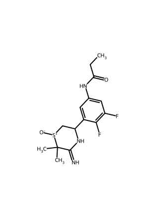 CCC(=O)Nc1cc(F)c(F)c(C2C[S+]([O-])C(C)(C)C(=N)N2)c1